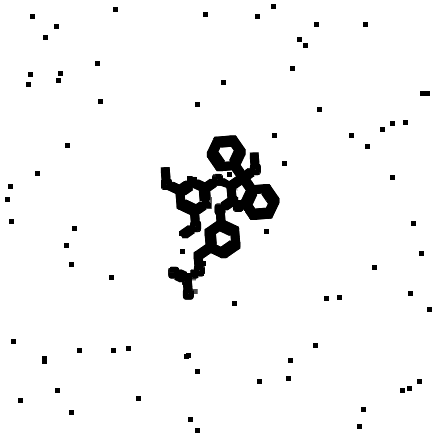 COc1cc(OC)nc(O[C@H](C(=O)Oc2cccc(CO[N+](=O)[O-])c2)C(OC)(c2ccccc2)c2ccccc2)n1